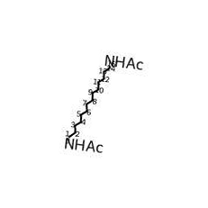 CC(=O)NCCCCCCCCCCCCCCNC(C)=O